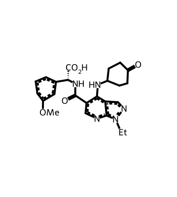 CCn1ncc2c(NC3CCC(=O)CC3)c(C(=O)N[C@@H](C(=O)O)c3cccc(OC)c3)cnc21